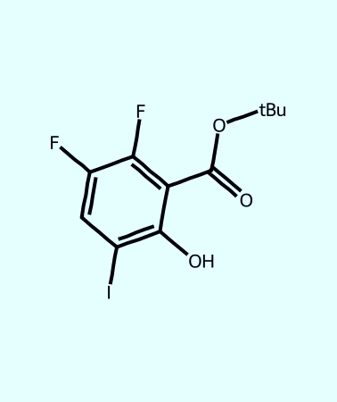 CC(C)(C)OC(=O)c1c(O)c(I)cc(F)c1F